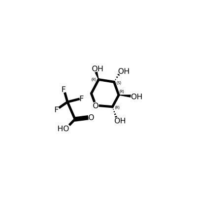 O=C(O)C(F)(F)F.O[C@@H]1[C@@H](O)[C@H](O)OC[C@H]1O